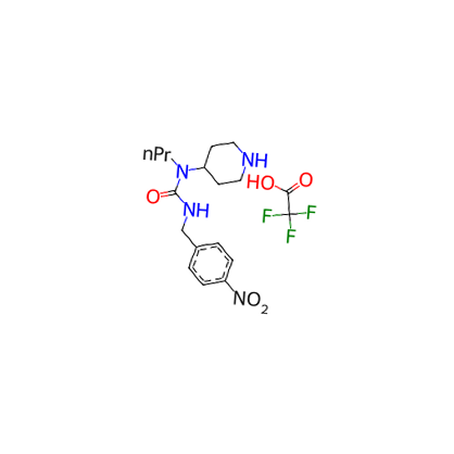 CCCN(C(=O)NCc1ccc([N+](=O)[O-])cc1)C1CCNCC1.O=C(O)C(F)(F)F